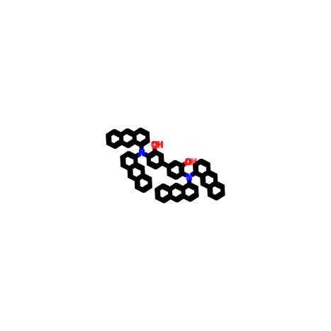 Oc1cc(-c2ccc(N(c3cccc4cc5ccccc5cc34)c3cccc4cc5ccccc5cc34)c(O)c2)ccc1N(c1cccc2cc3ccccc3cc12)c1cccc2cc3ccccc3cc12